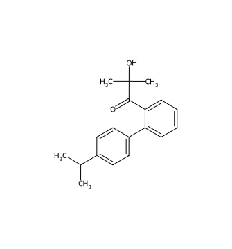 CC(C)c1ccc(-c2ccccc2C(=O)C(C)(C)O)cc1